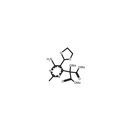 COC(=O)C(OC)(C(=O)OC)c1nc(C)nc(N)c1C1OCCO1